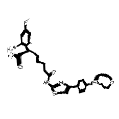 NC(=O)C(CCCCC(=O)Nc1nc(-c2ccc(N3CCOCC3)cc2)cs1)c1ccc(F)cc1N